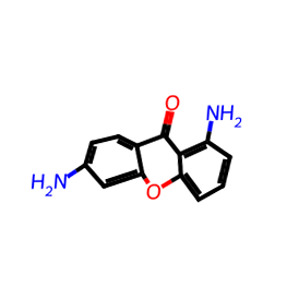 Nc1ccc2c(=O)c3c(N)cccc3oc2c1